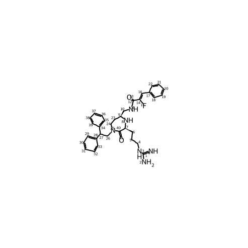 N=C(N)NCCC[C@@H]1N[C@H](CNC(=O)/C(F)=C/c2ccccc2)CCN(CC(c2ccccc2)c2ccccc2)C1=O